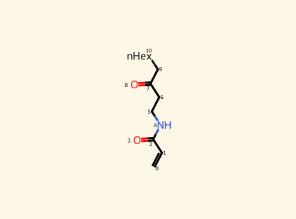 C=CC(=O)NCCC(=O)CCCCCCC